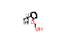 CCC(C)(CC(C)C)c1ccccc1OCCO